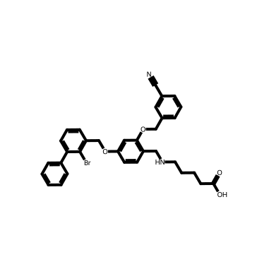 N#Cc1cccc(COc2cc(OCc3cccc(-c4ccccc4)c3Br)ccc2CNCCCCC(=O)O)c1